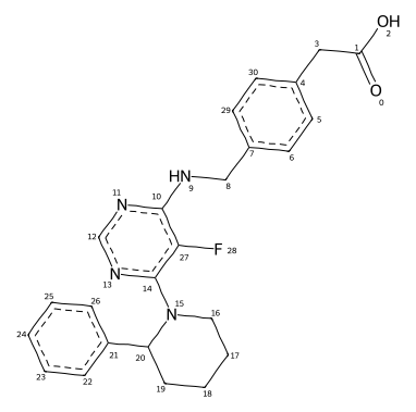 O=C(O)Cc1ccc(CNc2ncnc(N3CCCCC3c3ccccc3)c2F)cc1